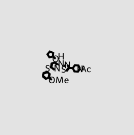 COc1cccc(Sc2cnc(Nc3nc(C4CCN(C(C)=O)CC4)cs3)c(OC3CCCC3)c2)c1